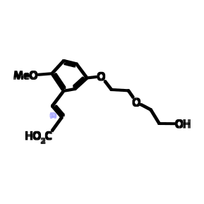 COc1ccc(OCCOCCO)cc1/C=C/C(=O)O